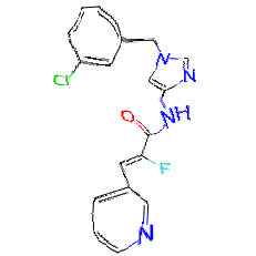 O=C(Nc1cn(Cc2cccc(Cl)c2)cn1)/C(F)=C/c1cccnc1